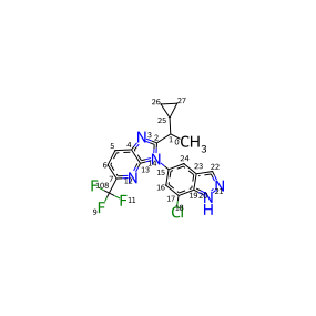 CC(c1nc2ccc(C(F)(F)F)nc2n1-c1cc(Cl)c2[nH]ncc2c1)C1CC1